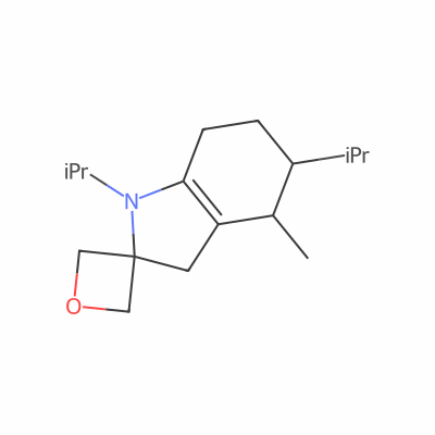 CC(C)C1CCC2=C(CC3(COC3)N2C(C)C)C1C